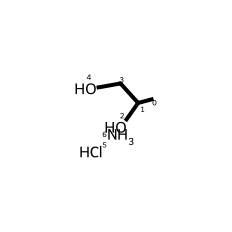 CC(O)CO.Cl.N